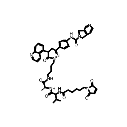 CC(C)C(NC(=O)CCCCCN1C(=O)C=CC1=O)C(=O)N[C@@H](C)C(=O)NCCCCN1N=C(c2ccc(NC(=O)N3Cc4ccncc4C3)cc2)CC(c2cccc3ncccc23)C1=O